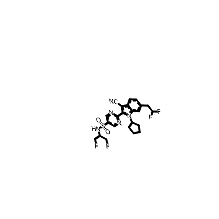 N#Cc1c(-c2ncc(S(=O)(=O)NC(CF)CF)cn2)n(C2CCCC2)c2cc(CC(F)F)ccc12